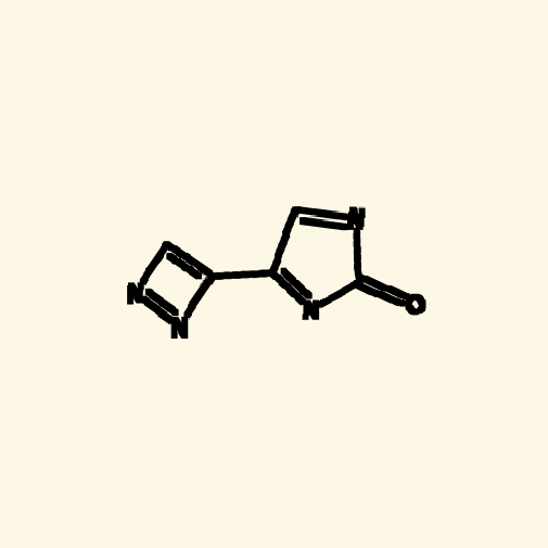 O=C1N=CC(C2=CN=N2)=N1